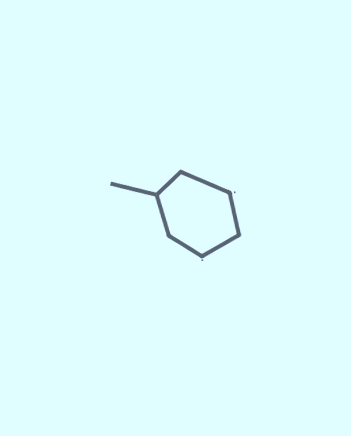 CC1C[CH]C[CH]C1